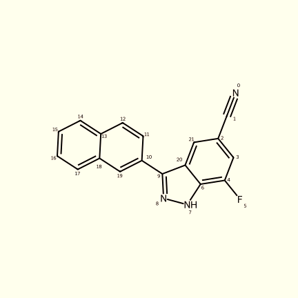 N#Cc1cc(F)c2[nH]nc(-c3ccc4ccccc4c3)c2c1